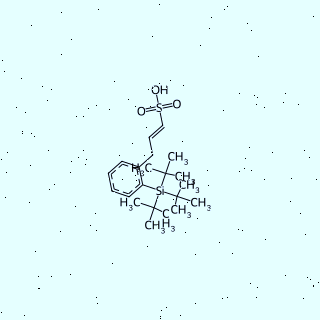 CC(C)(C)[Si](c1ccccc1CC=CS(=O)(=O)O)(C(C)(C)C)C(C)(C)C